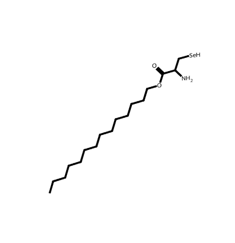 CCCCCCCCCCCCCCOC(=O)C(N)C[SeH]